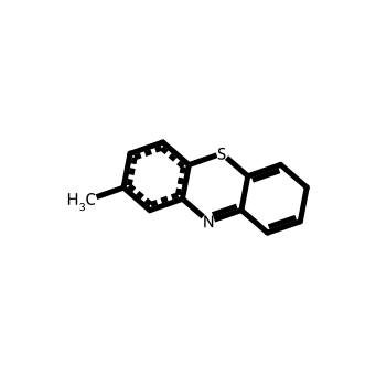 Cc1ccc2c(c1)N=C1C=CCC=C1S2